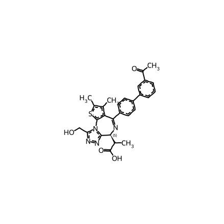 CC(=O)c1cccc(-c2ccc(C3=N[C@@H](C(C)C(=O)O)c4nnc(CO)n4-c4sc(C)c(C)c43)cc2)c1